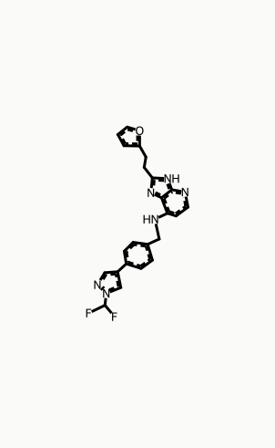 FC(F)n1cc(-c2ccc(CNc3ccnc4[nH]c(CCc5ccco5)nc34)cc2)cn1